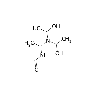 CC(O)N(C(C)O)C(C)N[C]=O